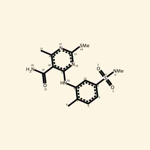 CNS(=O)(=O)c1ccc(C)c(Nc2nc(SC)nc(C)c2C(N)=O)c1